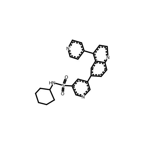 O=S(=O)(NC1CCCCC1)c1cncc(-c2ccc3nccc(-c4ccncc4)c3c2)c1